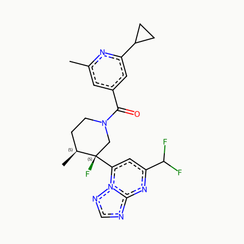 Cc1cc(C(=O)N2CC[C@H](C)[C@@](F)(c3cc(C(F)F)nc4ncnn34)C2)cc(C2CC2)n1